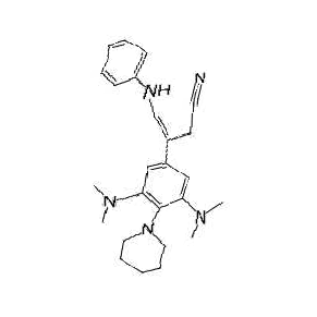 CN(C)c1cc(C(=CNc2ccccc2)CC#N)cc(N(C)C)c1N1CCCCC1